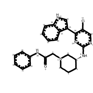 O=C(CN1CCC[C@@H](Nc2ncc(Cl)c(-c3c[nH]c4ccccc34)n2)C1)Nc1cc[c]cc1